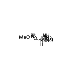 CCN(CCOC)c1ccc(CCNc2nc(N)n3nc(-c4ccco4)nc3n2)cc1